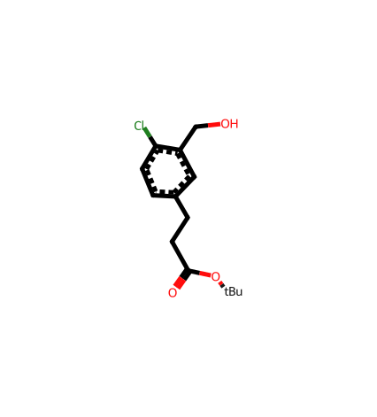 CC(C)(C)OC(=O)CCc1ccc(Cl)c(CO)c1